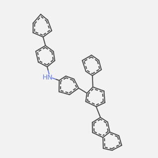 c1ccc(-c2ccc(Nc3ccc(-c4cc(-c5ccc6ccccc6c5)ccc4-c4ccccc4)cc3)cc2)cc1